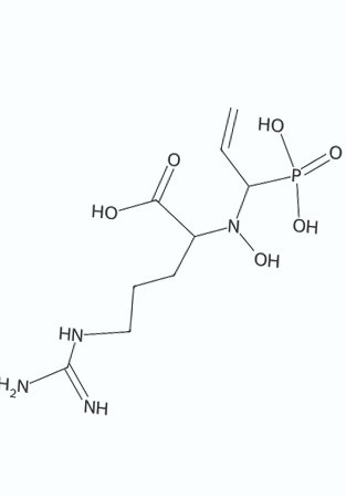 C=CC(N(O)C(CCCNC(=N)N)C(=O)O)P(=O)(O)O